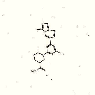 COC(=O)[C@@H]1CC[C@H](C)N(c2nc(N)nc(-c3ccc4cnc(C)n4c3)n2)C1